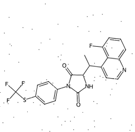 CC(c1ccnc2cccc(F)c12)C1NC(=O)N(c2ccc(SC(F)(F)F)cc2)C1=O